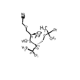 C[C@@H](P)O[C@@H](COC(C)(C)O)[C@H](O)[C@H](O)COCC#N